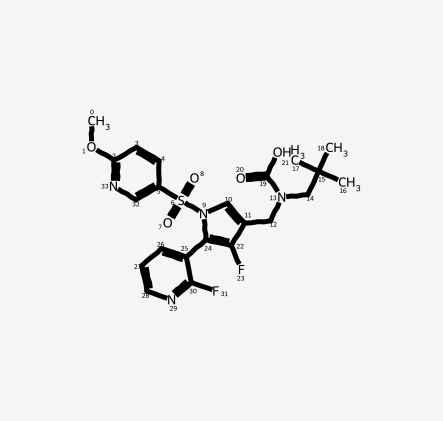 COc1ccc(S(=O)(=O)n2cc(CN(CC(C)(C)C)C(=O)O)c(F)c2-c2cccnc2F)cn1